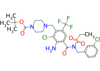 CCS(=O)(=O)N(Cc1cccc(Cl)c1)C(=O)c1cc(C(F)(F)F)c(CN2CCN(C(=O)OC(C)(C)C)CC2)c(Cl)c1N